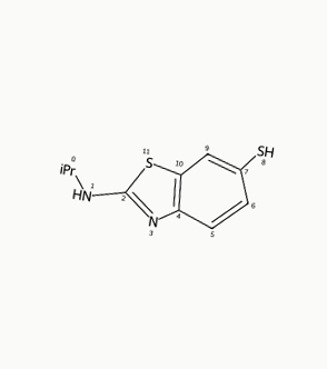 CC(C)Nc1nc2ccc(S)cc2s1